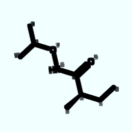 CC[C@@H](C)C(=O)NOC(C)C